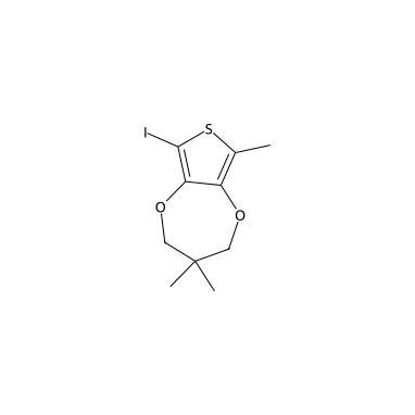 Cc1sc(I)c2c1OCC(C)(C)CO2